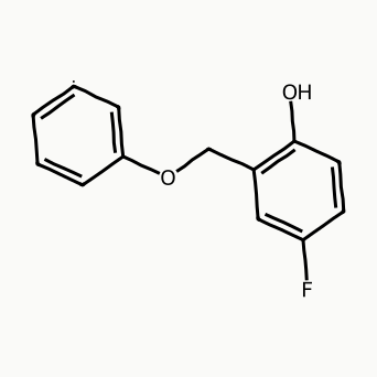 Oc1ccc(F)cc1COc1c[c]ccc1